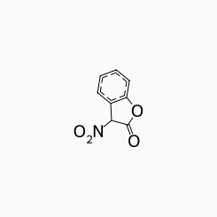 O=C1Oc2ccccc2C1[N+](=O)[O-]